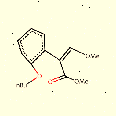 CCCCOc1ccccc1C(=COC)C(=O)OC